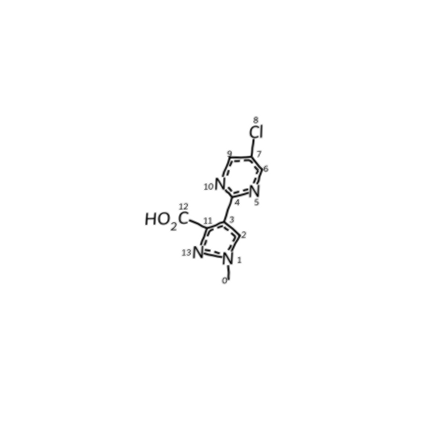 Cn1cc(-c2ncc(Cl)cn2)c(C(=O)O)n1